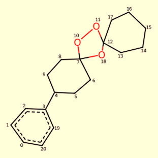 c1ccc(C2CCC3(CC2)OOC2(CCCCC2)O3)cc1